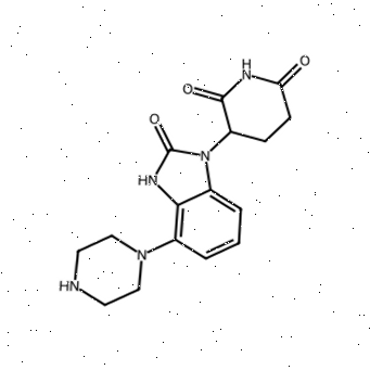 O=C1CCC(n2c(=O)[nH]c3c(N4CCNCC4)cccc32)C(=O)N1